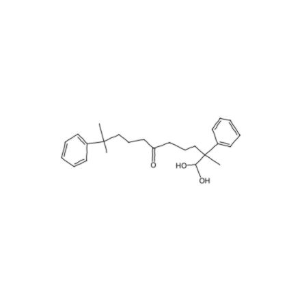 CC(C)(CCCC(=O)CCCC(C)(c1ccccc1)C(O)O)c1ccccc1